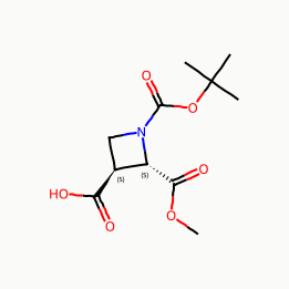 COC(=O)[C@@H]1[C@@H](C(=O)O)CN1C(=O)OC(C)(C)C